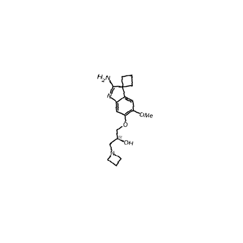 COc1cc2c(cc1OC[C@@H](O)CN1CCC1)N=C(N)C21CCC1